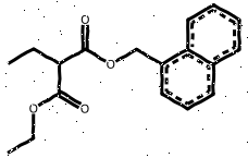 CCOC(=O)C(CC)C(=O)OCc1cccc2ccccc12